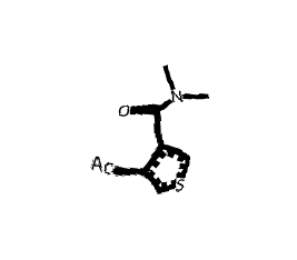 CC(=O)c1cscc1C(=O)N(C)C